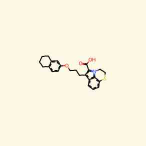 O=C(O)c1c(CCCOc2ccc3c(c2)CCCC3)c2cccc3c2n1CCS3